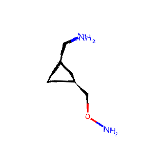 NC[C@@H]1C[C@@H]1CON